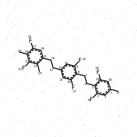 Cc1cc(F)c(CCc2c(F)cc(CCc3cc(F)c(C)c(F)c3C)cc2F)c(F)c1